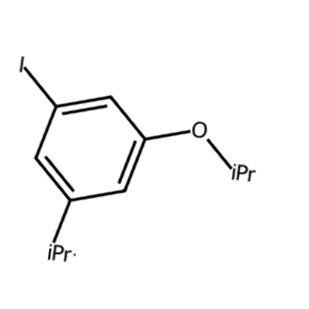 C[C](C)c1cc(I)cc(OC(C)C)c1